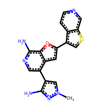 Cn1cc(-c2cnc(N)c3oc(-c4csc5cnccc45)cc23)c(N)n1